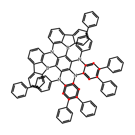 c1ccc(-c2ccc(N(c3ccc(-c4ccccc4)cc3)c3c4c5c(c(N(c6ccc(-c7ccccc7)cc6)c6ccc(-c7ccccc7)cc6)c3N(c3ccc(-c6ccccc6)cc3)c3ccc(-c6ccccc6)cc3)B3c6ccccc6-c6cccc(c63)N5c3cccc5c3B4c3ccccc3-5)cc2)cc1